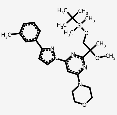 COC(C)(CO[Si](C)(C)C(C)(C)C)c1nc(N2CCOCC2)cc(-n2ccc(-c3cccc(C)c3)n2)n1